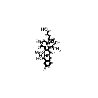 C=C(c1c(C(=O)N(N)Cc2ccc(F)cc2CO)c(OC)c2n1[C@@H](C)CN(CC)C2=O)N(C)S(=O)(=O)CCCCO